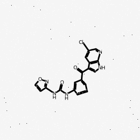 O=C(Nc1cccc(C(=O)c2c[nH]c3ncc(Cl)cc23)c1)Nc1ccon1